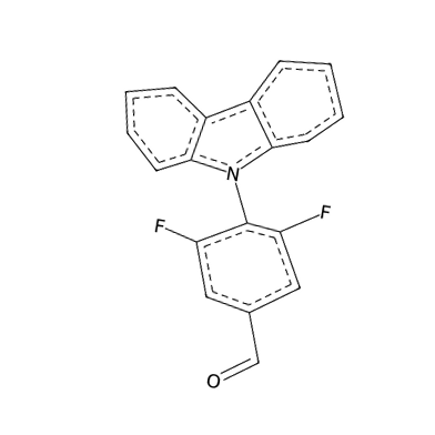 O=Cc1cc(F)c(-n2c3ccccc3c3ccccc32)c(F)c1